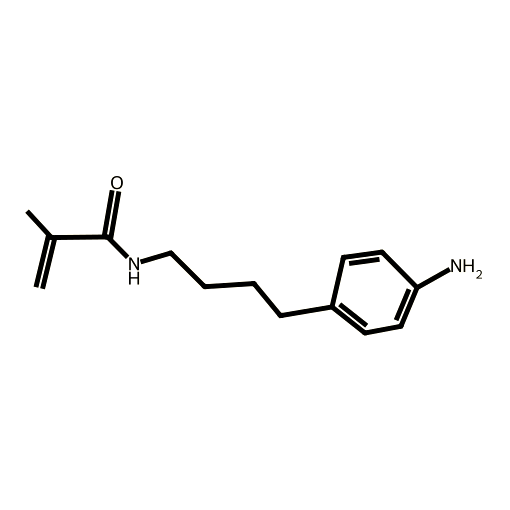 C=C(C)C(=O)NCCCCc1ccc(N)cc1